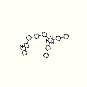 c1ccc(-c2ccc(-c3nc(-c4ccc(-c5ccccc5)cc4)nc(-c4cccc(-c5ccc(-c6cccc(-c7ccc8c(c7)ncc7ccccc78)c6)cc5)c4)n3)cc2)cc1